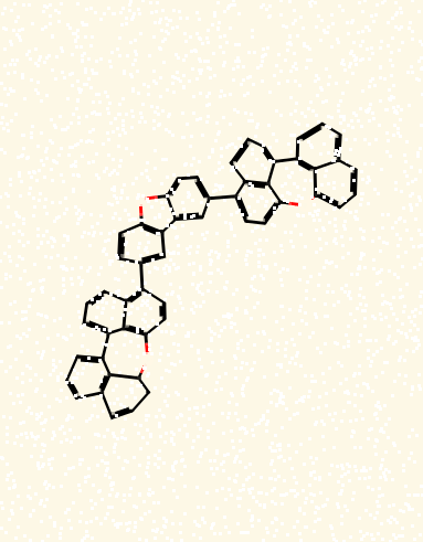 C1=Cc2cccc3c2C(C1)Oc1ccc(-c2ccc4oc5ccc(-c6ccc7oc8cccc9cccc(c%10cccc6c7%10)c98)cc5c4c2)c2cccc-3c12